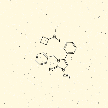 Cn1cc(-c2ccccc2)n(Cc2ccccc2)[c]1=[Pt].IN(I)C1CCC1